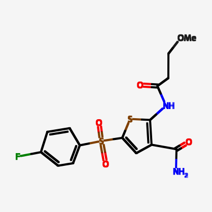 COCCC(=O)Nc1sc(S(=O)(=O)c2ccc(F)cc2)cc1C(N)=O